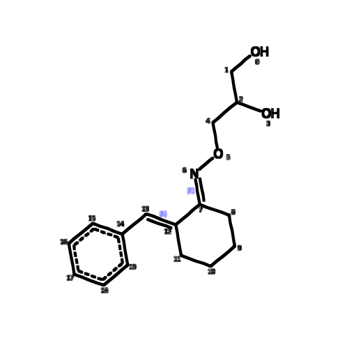 OCC(O)CO/N=C1\CCCC\C1=C/c1ccccc1